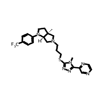 Cn1c(SCCCN2C[C@H]3N(c4ccc(C(F)(F)F)cc4)CC[C@@]3(C)C2)nnc1-c1cnccn1